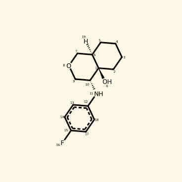 O[C@]12CCCC[C@@H]1COC[C@H]2Nc1ccc(F)cc1